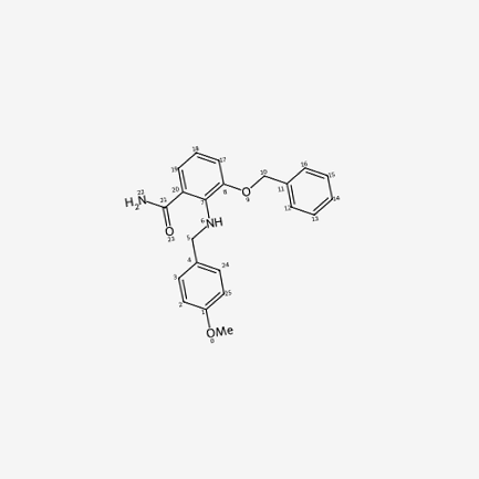 COc1ccc(CNc2c(OCc3ccccc3)cccc2C(N)=O)cc1